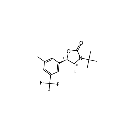 Cc1cc([C@H]2OC(=O)N(C(C)(C)C)[C@@H]2C)cc(C(F)(F)F)c1